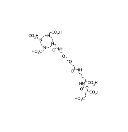 O=C(O)CCC(OC(=O)NC(CCCCNC(=O)CCOCCOCCNC(=O)CN1CCN(CC(=O)O)CCN(CC(=O)O)CCN(CC(=O)O)CC1)C(=O)O)C(=O)O